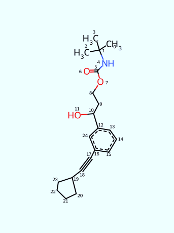 CC(C)(C)NC(=O)OCCC(O)c1cccc(C#CC2CCCC2)c1